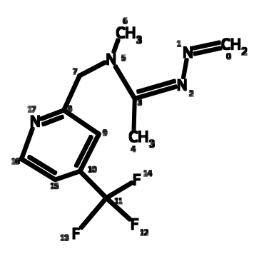 C=N/N=C(/C)N(C)Cc1cc(C(F)(F)F)ccn1